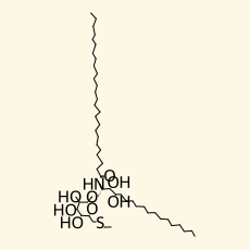 CCCCCCCCCCCCCCCCCCCCCCCCCC(=O)N[C@@H](CO[C@H]1OC(CSCC)[C@H](O)[C@H](O)C1O)C(O)[C@H](O)CCCCCCCCCCCCCC